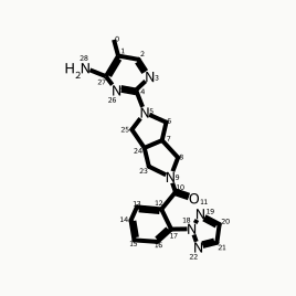 Cc1cnc(N2CC3CN(C(=O)c4ccccc4-n4nccn4)CC3C2)nc1N